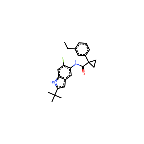 CCc1cccc(C2(C(=O)Nc3cc4cc(C(C)(C)C)[nH]c4cc3F)CC2)c1